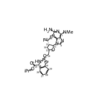 CNc1nc(N)nc2c1ncn2C1OC(COP(NCC(=O)OC(C)C)Oc2ccccc2)C[C@@H]1C(F)F